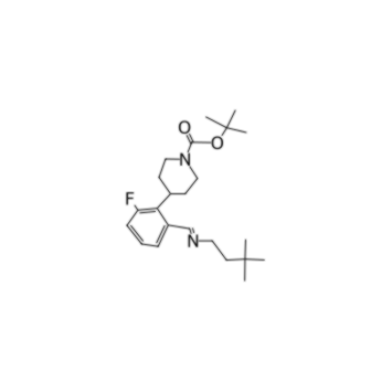 CC(C)(C)CCN=Cc1cccc(F)c1C1CCN(C(=O)OC(C)(C)C)CC1